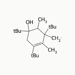 [CH2]C1(C(C)(C)C)C(C)=C(C(C)(C)C)CC(O)(C(C)(C)C)C1C